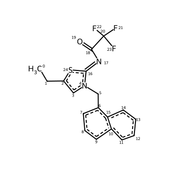 CCc1cn(Cc2cccc3ccccc23)c(=NC(=O)C(F)(F)F)s1